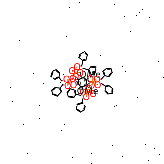 CO[C@@H]1[C@@H](OP(=O)(OCc2ccccc2)OCc2ccccc2)[C@H](OP(=O)(OCc2ccccc2)OCc2ccccc2)[C@H](OC)[C@H](OP(=O)(OCc2ccccc2)OCc2ccccc2)[C@H]1OP(=O)(OCc1ccccc1)OCc1ccccc1